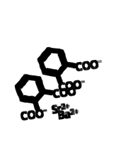 O=C([O-])c1ccccc1C(=O)[O-].O=C([O-])c1ccccc1C(=O)[O-].[Ba+2].[Sr+2]